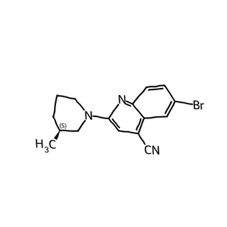 C[C@H]1CCCN(c2cc(C#N)c3cc(Br)ccc3n2)C1